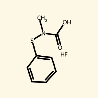 CN(Sc1ccccc1)C(=O)O.F